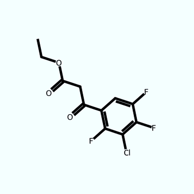 CCOC(=O)CC(=O)c1cc(F)c(F)c(Cl)c1F